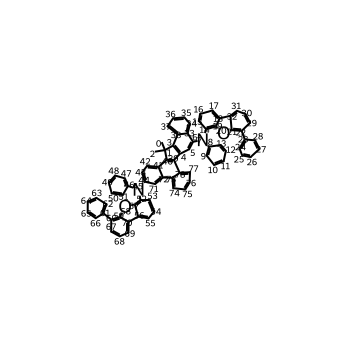 CC1(C)c2c(cc(N(c3ccccc3)c3cccc4c3oc3c(-c5ccccc5)cccc34)c3ccccc23)-c2c1c1ccc(N(c3ccccc3)c3cccc4c3oc3c(-c5ccccc5)cccc34)cc1c1ccccc21